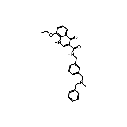 CCOc1cccc2c(=O)c(C(=O)NCc3cccc(CN(C)Cc4ccccc4)c3)c[nH]c12